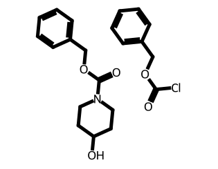 O=C(Cl)OCc1ccccc1.O=C(OCc1ccccc1)N1CCC(O)CC1